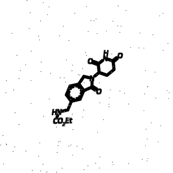 CCOC(=O)NCc1ccc2c(c1)C(=O)N(C1CCC(=O)NC1=O)C2